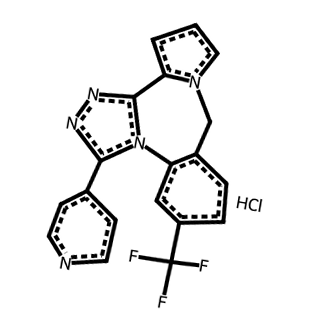 Cl.FC(F)(F)c1ccc2c(c1)-n1c(-c3ccncc3)nnc1-c1cccn1C2